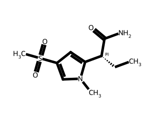 CC[C@@H](C(N)=O)c1cc(S(C)(=O)=O)cn1C